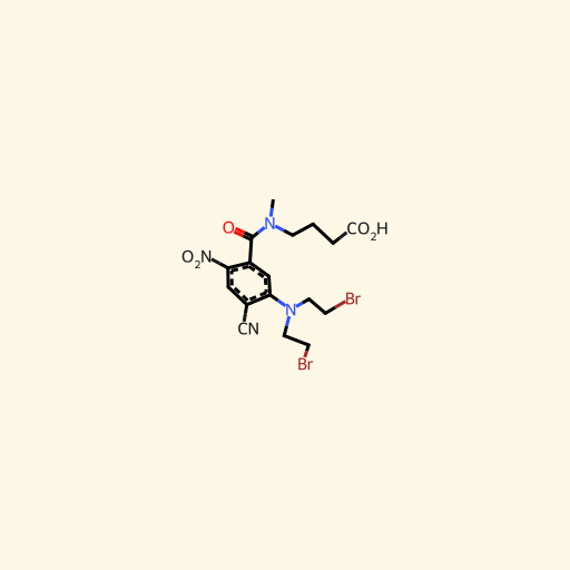 CN(CCCC(=O)O)C(=O)c1cc(N(CCBr)CCBr)c(C#N)cc1[N+](=O)[O-]